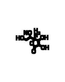 NC1(C(CO)N=O)OC(=O)C(O)=C1O